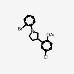 CC(=O)Oc1ccc(Cl)cc1C1CCN(c2ccccc2Br)C1